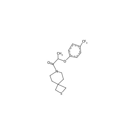 CC(Oc1ccc(C(F)(F)F)cc1)C(=O)N1CCC2(CC1)CSC2